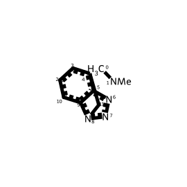 CNC.c1cc2c3nnn(c3c1)C2